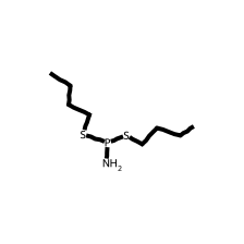 CCCCSP(N)SCCCC